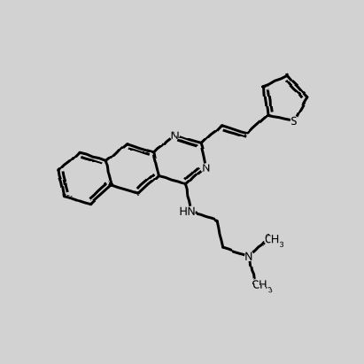 CN(C)CCNc1nc(/C=C/c2cccs2)nc2cc3ccccc3cc12